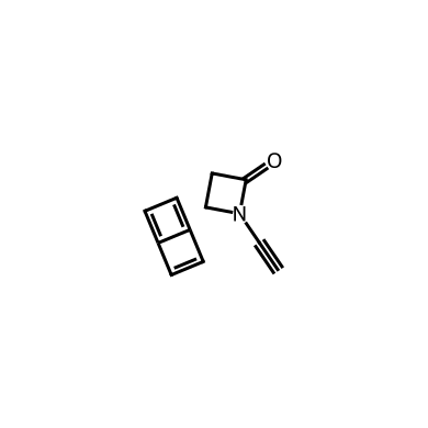 C#CN1CCC1=O.c1cc2ccc1-2